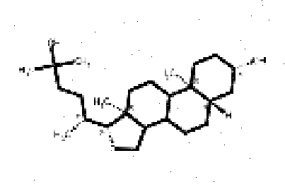 C[C@H](CCC(C)(C)O)[C@H]1CCC2C3CC[C@H]4C[C@@H](O)CC[C@]4(C)C3CC[C@@]21C